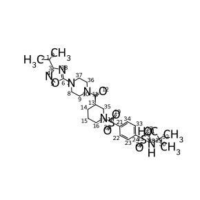 CC(C)c1noc(N2CCN(C(=O)[C@@H]3CCCN(S(=O)(=O)c4ccc(S(=O)(=O)NC(C)(C)C)cc4)C3)CC2)n1